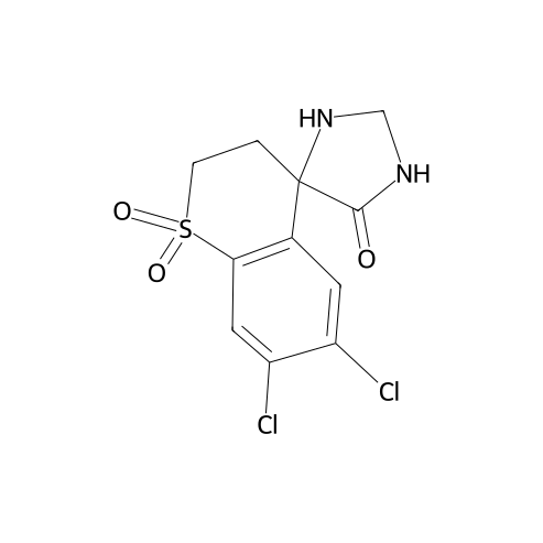 O=C1NCNC12CCS(=O)(=O)c1cc(Cl)c(Cl)cc12